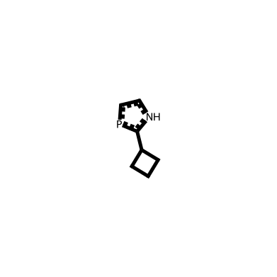 c1cpc(C2CCC2)[nH]1